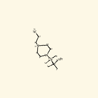 CCCC(C)(C)[Si](C)(C)N1CCN(CCC#N)CC1